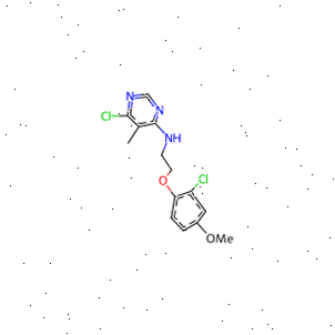 COc1ccc(OCCNc2ncnc(Cl)c2C)c(Cl)c1